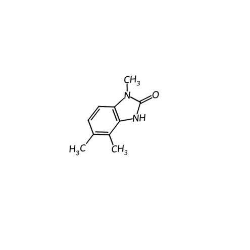 Cc1ccc2c([nH]c(=O)n2C)c1C